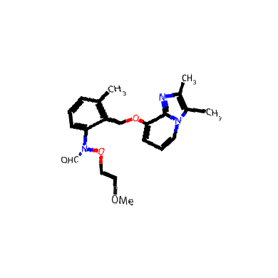 COCCON(C=O)c1cccc(C)c1COc1cccn2c(C)c(C)nc12